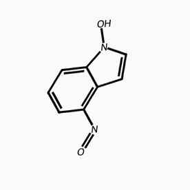 O=Nc1cccc2c1ccn2O